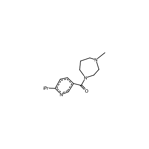 CC(C)c1ccc(C(=O)N2CCCN(C)CC2)cn1